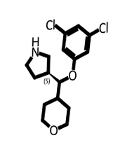 Clc1cc(Cl)cc(OC(C2CCOCC2)[C@H]2CCNC2)c1